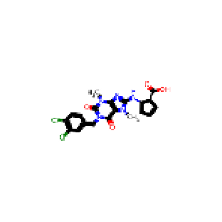 Cn1c(N[C@@H]2CCC[C@@H]2C(=O)O)nc2c1c(=O)n(Cc1ccc(Cl)c(Cl)c1)c(=O)n2C